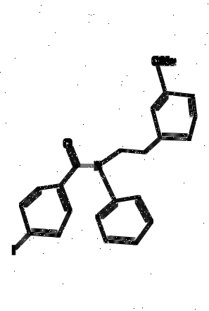 COc1cccc(CCN(C(=O)c2ccc(I)cc2)c2ccccc2)c1